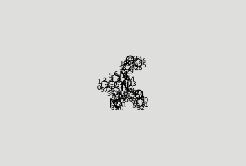 c1ccc(-c2ccc3c(c2)c2ncccc2n3-c2ccc3oc4ccccc4c3c2)c(-c2ccc3c(c2)c2ncccc2n3-c2ccc3oc4ccccc4c3c2)c1